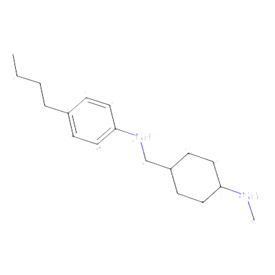 CCCCc1ccc(NCC2CCC(NC)CC2)cc1